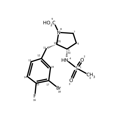 CS(=O)(=O)N[C@H]1CCN(C(=O)O)[C@H]1Cc1ccc(F)c(Br)c1